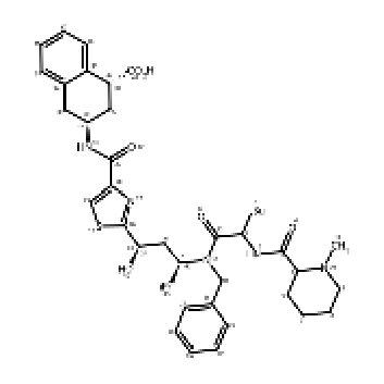 CCC(C)C(NC(=O)C1CCCCN1C)C(=O)N(Cc1ccccc1)[C@H](C[C@@H](O)c1nc(C(=O)N[C@H]2Cc3ccccc3[C@H](C(=O)O)C2)cs1)C(C)C